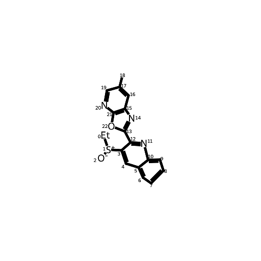 CC[S+]([O-])c1cc2ccccc2nc1-c1nc2cc(C)cnc2o1